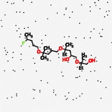 CCC(C)(CO)OCC(O)CC(C)(CC)OCCCC(C)(C)OCCCC(C)F